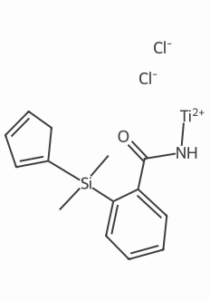 C[Si](C)(C1=CC=CC1)c1ccccc1C(=O)[NH][Ti+2].[Cl-].[Cl-]